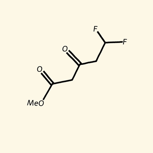 COC(=O)CC(=O)CC(F)F